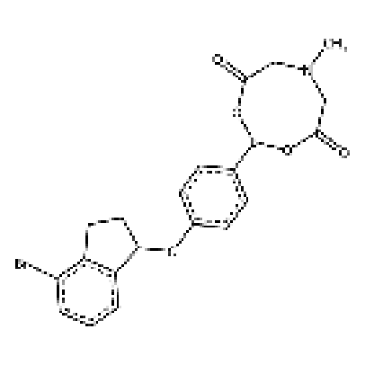 CN1CC(=O)OB(c2ccc(OC3CCc4c(Br)cccc43)cc2)OC(=O)C1